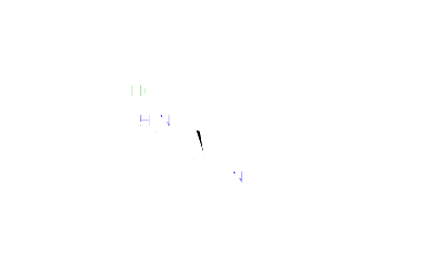 Cl.NC[C@@H]1CCCN1Cc1ccccc1